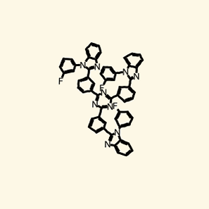 Fc1cccc(-n2c(-c3cccc(-c4nc(-c5cccc(-c6nc7ccccc7n6-c6cccc(F)c6)c5)nc(-c5cccc(-c6nc7ccccc7n6-c6cccc(F)c6)c5)n4)c3)nc3ccccc32)c1